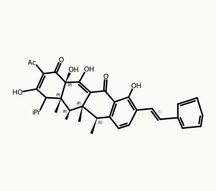 CC(=O)C1=C(O)C(C(C)C)[C@@]2(C)[C@H](C)[C@]3(C)C(=C(O)[C@@]2(O)C1=O)C(=O)c1c(ccc(/C=C/c2ccccc2)c1O)[C@H]3C